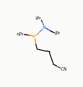 CCCP(CCCC#N)N(C(C)C)C(C)C